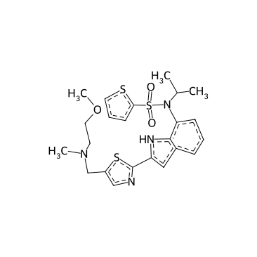 COCCN(C)Cc1cnc(-c2cc3cccc(N(C(C)C)S(=O)(=O)c4cccs4)c3[nH]2)s1